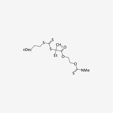 CCCCCCCCCCCCSC(=S)SC(C)(CC)C(=O)OCCOC(=S)NC